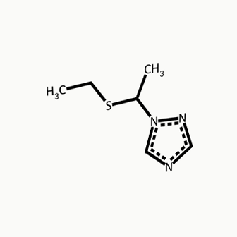 CCSC(C)n1cncn1